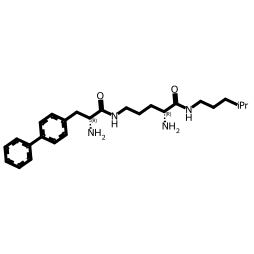 CC(C)CCCNC(=O)[C@H](N)CCCNC(=O)[C@H](N)Cc1ccc(-c2ccccc2)cc1